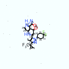 Cc1c(C2(C(F)(F)F)CC2)nn(C2CCC(F)(F)CC2)c1-c1cc(=O)c2c(C(N)=O)nccc2[nH]1